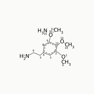 COc1cc(CCN)cc(OC)c1OC.N